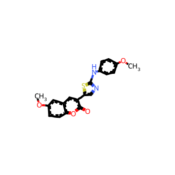 COc1ccc(Nc2ncc(-c3cc4cc(OC)ccc4oc3=O)s2)cc1